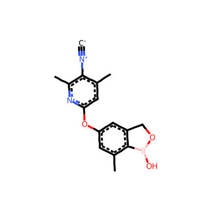 [C-]#[N+]c1c(C)cc(Oc2cc(C)c3c(c2)COB3O)nc1C